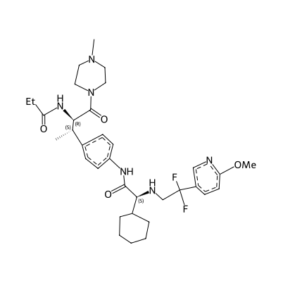 CCC(=O)N[C@@H](C(=O)N1CCN(C)CC1)[C@@H](C)c1ccc(NC(=O)[C@@H](NCC(F)(F)c2ccc(OC)nc2)C2CCCCC2)cc1